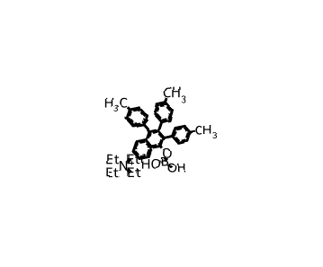 CC[N+](CC)(CC)CC.Cc1ccc(-c2c(-c3ccc(C)cc3)c(-c3ccc(C)cc3)c3ccccc3c2OB(O)O)cc1